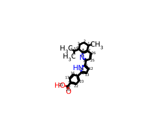 CC1CCC(C(C)C)c2nc(-c3ccc(-c4ccc(C(=O)O)cc4)[nH]3)ccc21